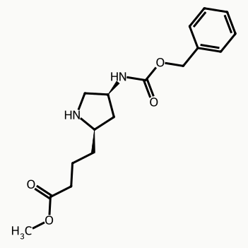 COC(=O)CCC[C@@H]1C[C@H](NC(=O)OCc2ccccc2)CN1